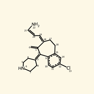 C=C1C(=C2CCNCC2)c2ccc(Cl)cc2CC/C1=C/C=C\N